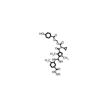 CCCNC(=O)c1ccc(C)c(NC(=N)c2c(C)c(C(=O)N(C(=O)OCOC(=O)c3ccc(O)cc3)C3CC3)cn2C)c1